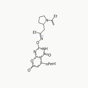 C=C(CC)N1CCCC1C/C(CC)=N/Oc1nc2oc(=O)cc(CCCCC)c2c(=O)[nH]1